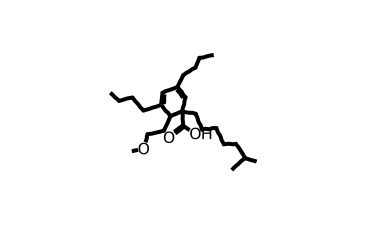 CCCCC1=CC(CCCCCC(C)C)(C(=O)O)C(CCOC)C(CCCC)=C1